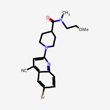 COCCN(C)C(=O)C1CCN(c2cc(C#N)c3cc(Br)ccc3n2)CC1